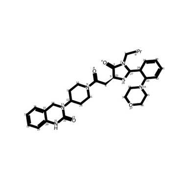 CC(C)CN1C(=O)[C@H](CC(=O)N2CCC(N3Cc4ccccc4NC3=O)CC2)SC1C1C=CC=CC1N1CCOCC1